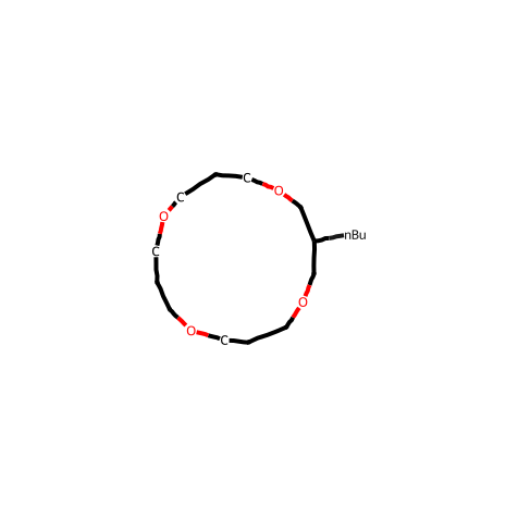 CCCCC1COCCCOCCCOCCCOC1